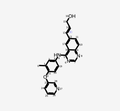 Cc1cc(Nc2ncnc3ccc(/C=C/CO)cc23)ccc1Oc1cccnc1